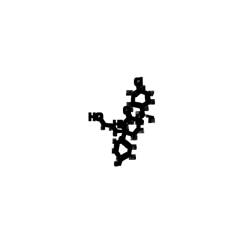 Cc1ccc([C@@]2(CCCO)CCN([C@@H](C)c3ccc(Cl)cc3)C(=O)N2)cc1